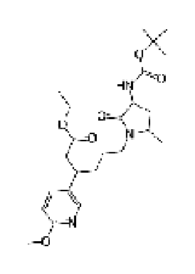 CCOC(=O)CC(CCCN1C(=O)C(NC(=O)OC(C)(C)C)CC1C)c1ccc(OC)nc1